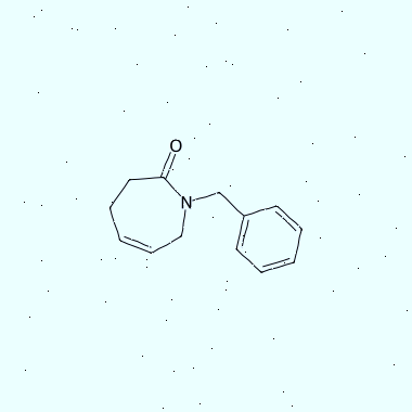 O=C1CCC=CCN1Cc1ccccc1